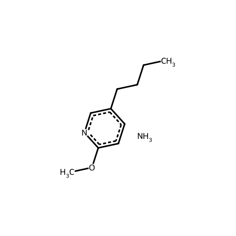 CCCCc1ccc(OC)nc1.N